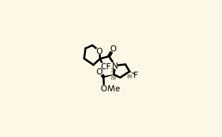 COC(=O)[C@@H]1C[C@@H](F)CN1C(=O)C1(C(F)(F)F)CCCCO1